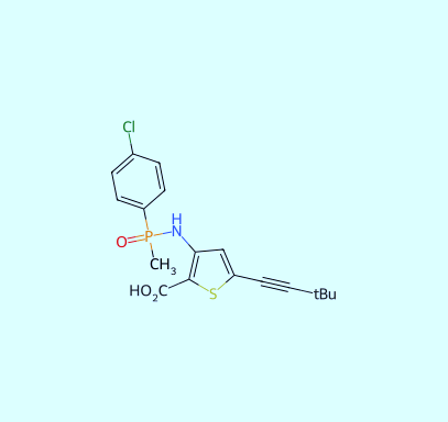 CC(C)(C)C#Cc1cc(NP(C)(=O)c2ccc(Cl)cc2)c(C(=O)O)s1